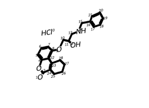 Cl.O=c1oc2cccc(OCC(O)CNCc3ccccc3)c2c2c1CCCC2